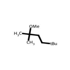 COC(C)(C)CCC(C)(C)C